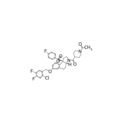 CC(=O)N1CCC(C(=O)N2CC[C@@]3(S(=O)(=O)c4ccc(F)cc4)c4ccc(OCc5cc(F)c(F)cc5Cl)cc4CC[C@@H]23)CC1